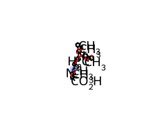 CC1(C)C(/C=C/c2ccc(-c3ccc(N(c4ccc5c(c4)C(C)(C)c4ccccc4-5)c4ccc5c(c4)C(C)(C)c4ccccc4-5)cc3)s2)=Nc2ccc(C(=O)O)cc21